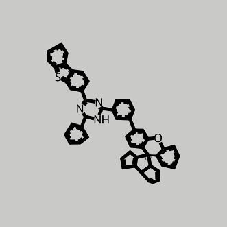 C1=CC2C3=C(CC=C3)[C@@]3(c4ccccc4Oc4cc(-c5cccc(C6=NC(c7ccc8c(c7)sc7ccccc78)=NC(c7ccccc7)N6)c5)ccc43)C2C=C1